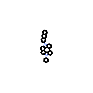 c1ccc(-n2c3cccc4c3c3c5c(ccc32)ccc2c5c3c-4cccc3n2-c2ccc3cc4ccccc4cc3c2)cc1